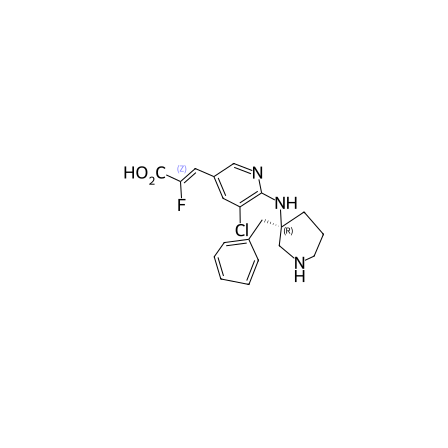 O=C(O)/C(F)=C/c1cnc(N[C@@]2(Cc3ccccc3)CCCNC2)c(Cl)c1